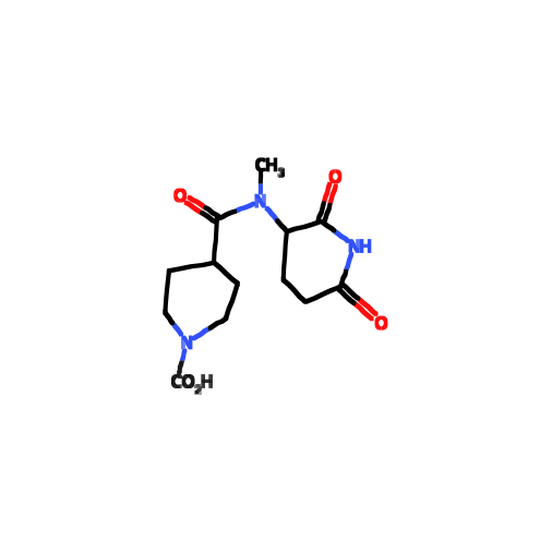 CN(C(=O)C1CCN(C(=O)O)CC1)C1CCC(=O)NC1=O